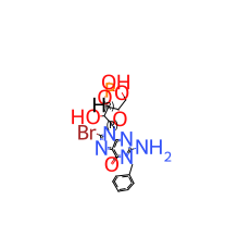 Nc1nc2c(nc(Br)n2[C@@H]2OC3COP(O)O[C@@H]3C2O)c(=O)n1Cc1ccccc1